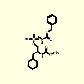 CN(C[C@@H](O[Si](C)(C)C(C)(C)C)[C@H](CC1CCCCC1)NC(=O)OC(C)(C)C)C(=O)OCc1ccccc1